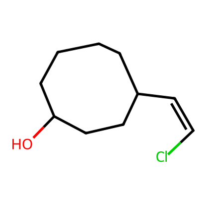 OC1CCCCC(/C=C\Cl)CC1